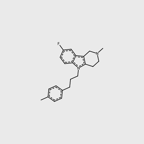 Cc1ccc(CCCn2c3c(c4cc(F)ccc42)CN(C)CC3)cc1